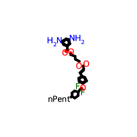 CCCCCC1CCC(C(F)(F)Oc2ccc(C=CC(=O)OCCCCOC(=O)c3cc(N)cc(N)c3)cc2)CC1